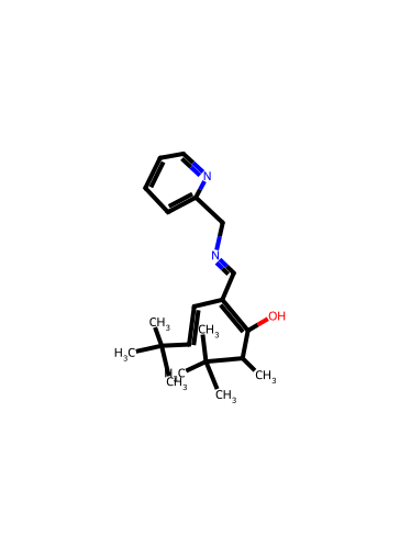 CC(/C(O)=C(\C=C\C(C)(C)C)/C=N/Cc1ccccn1)C(C)(C)C